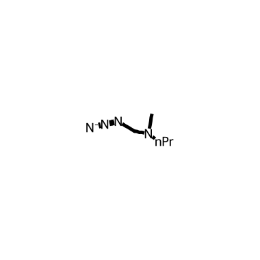 CCCN(C)CN=[N+]=[N-]